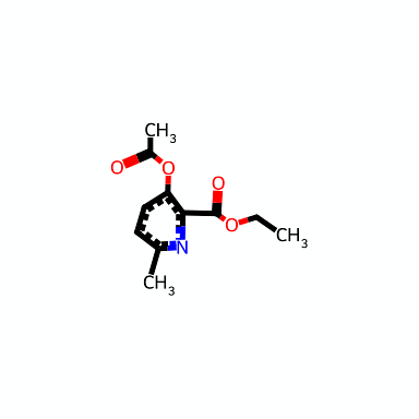 CCOC(=O)c1nc(C)ccc1OC(C)=O